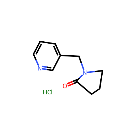 Cl.O=C1CCCN1Cc1cccnc1